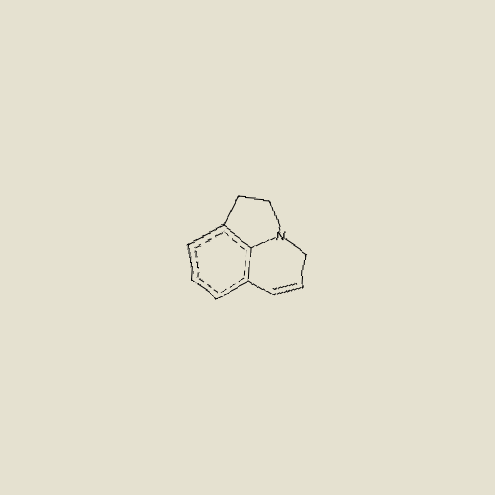 C1=Cc2cccc3c2N(C1)CC3